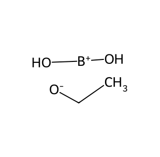 CC[O-].O[B+]O